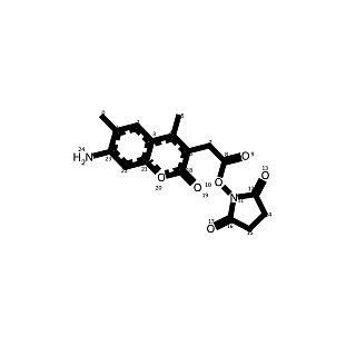 Cc1cc2c(C)c(CC(=O)ON3C(=O)CCC3=O)c(=O)oc2cc1N